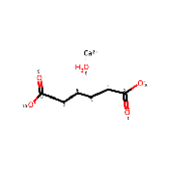 O.O=C([O-])CCCCC(=O)[O-].[Ca+2]